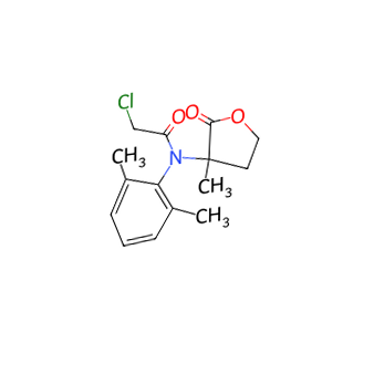 Cc1cccc(C)c1N(C(=O)CCl)C1(C)CCOC1=O